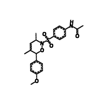 COc1ccc(C2ON(S(=O)(=O)c3ccc(NC(C)=O)cc3)C(C)C=C2C)cc1